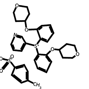 Cc1ccc(S(=O)(=O)[O-])cc1.c1cncc([S+](c2ccccc2OC2CCOCC2)c2ccccc2OC2CCOCC2)c1